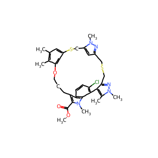 COC(=O)c1c2c3ccc(Cl)c(c3n1C)-c1c(nn(C)c1C)CSCc1cc(n(C)n1)CSc1cc(C)c(C)c(c1)OCCC2